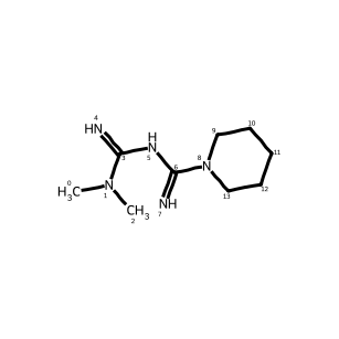 CN(C)C(=N)NC(=N)N1CCCCC1